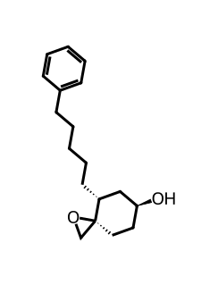 O[C@H]1CC[C@@]2(CO2)[C@H](CCCCCc2ccccc2)C1